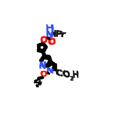 CC(C)NC(=O)OC1CCC(c2cnc3c(c2)cc(C(=O)O)n3COCC[Si](C)(C)C)C1